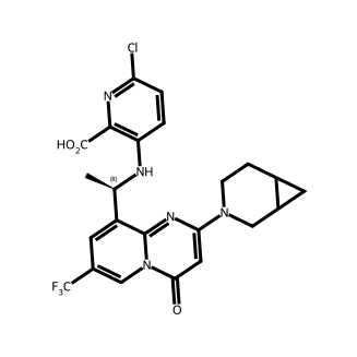 C[C@@H](Nc1ccc(Cl)nc1C(=O)O)c1cc(C(F)(F)F)cn2c(=O)cc(N3CCC4CC4C3)nc12